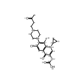 CC(=O)CCN1CCN(c2c(Cl)cc3c(=O)c(OC(=O)O)cn(C4CC4)c3c2F)CC1